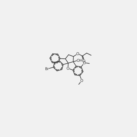 CCC(=O)OC1CC(c2ccccc2)C2(c3ccc(Br)cc3)Oc3cc(OC)cc(OC)c3C12O